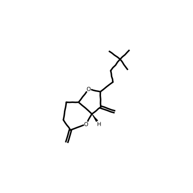 C=C1CCC2OC(CCC(C)(C)C)C(=C)[C@@H]2O1